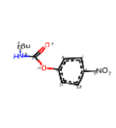 CCCCNC(=O)Oc1ccc([N+](=O)[O-])cc1